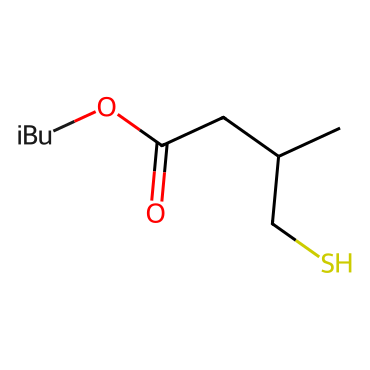 CCC(C)OC(=O)CC(C)CS